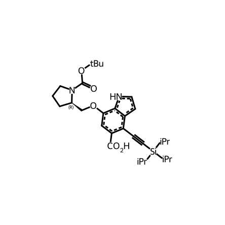 CC(C)[Si](C#Cc1c(C(=O)O)cc(OC[C@H]2CCCN2C(=O)OC(C)(C)C)c2[nH]ccc12)(C(C)C)C(C)C